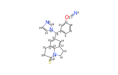 N#COc1cccc(C(c2cc3c4c(c2)CCN4C(=S)CC3)n2ccnc2)c1